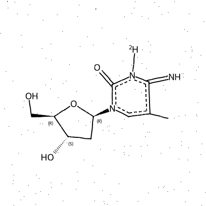 [2H]n1c(=N)c(C)cn([C@H]2C[C@H](O)[C@@H](CO)O2)c1=O